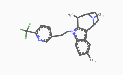 Cc1ccc2c(c1)c1c(n2CCc2ccc(C(F)(F)F)nc2)C(C)C2CCC1N2C